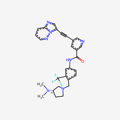 CN(C)[C@H]1CCN(Cc2ccc(NC(=O)c3cncc(C#Cc4cnc5cccnn45)c3)cc2C(F)(F)F)C1